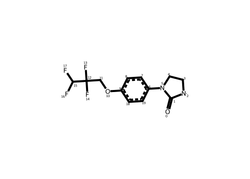 O=C1[N]CCN1c1ccc(OCC(F)(F)C(F)F)cc1